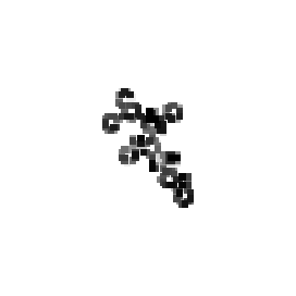 c1ccc(-c2nc(-c3cc(-c4ccccc4)c4ccccc4c3)nc(-c3cc4c(c5c3oc3ccccc35)SC(c3ccc5c(c3)oc3ccccc35)N4)n2)cc1